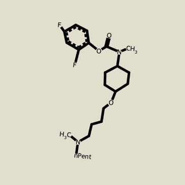 CCCCCN(C)CCCCOC1CCC(N(C)C(=O)Oc2ccc(F)cc2F)CC1